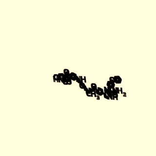 CN(CCOCCNc1ccc2c(c1)C(=O)N(C1CCC(=O)NC1=O)C2=O)CCC(=O)N1CCC([C@@H]2CCNc3c(C(N)=O)c(-c4ccc(Oc5ccccc5)cc4)nn32)CC1